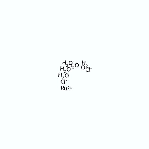 O.O.O.O.O.[Cl-].[Cl-].[Ru+2]